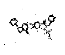 C=CS(=O)(=O)N[C@H](Cc1ccccc1)C(=O)N1CCC(O)(Cn2cnc3c(cnn3-c3ccccc3)c2=O)CC1